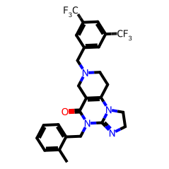 Cc1ccccc1CN1C(=O)C2=C(CCN(Cc3cc(C(F)(F)F)cc(C(F)(F)F)c3)C2)N2CCN=C12